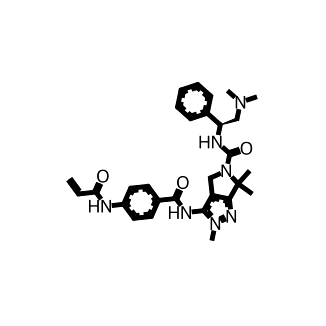 C=CC(=O)Nc1ccc(C(=O)Nc2c3c(nn2C)C(C)(C)N(C(=O)N[C@H](CN(C)C)c2ccccc2)C3)cc1